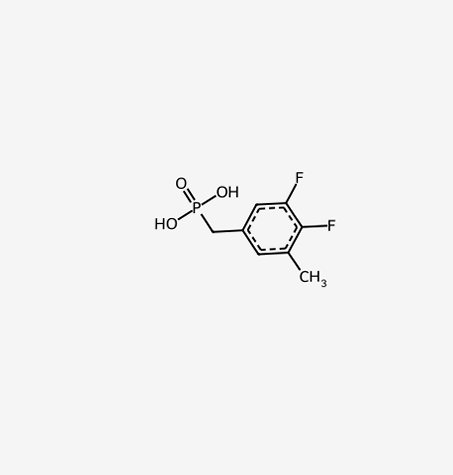 Cc1cc(CP(=O)(O)O)cc(F)c1F